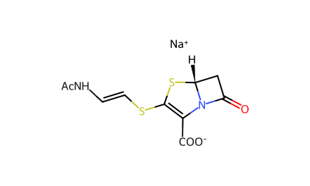 CC(=O)N/C=C/SC1=C(C(=O)[O-])N2C(=O)C[C@H]2S1.[Na+]